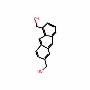 OCc1ccc2cc3c(CO)cccc3cc2c1